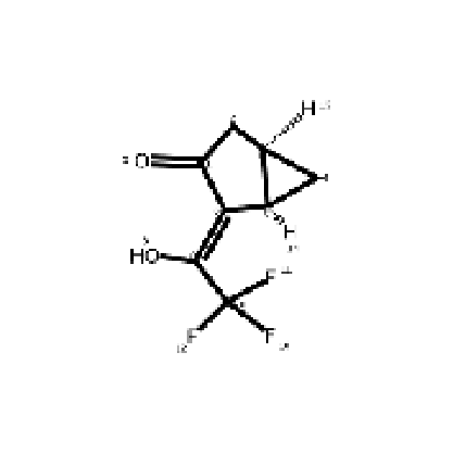 O=C1C[C@H]2C[C@H]2/C1=C(/O)C(F)(F)F